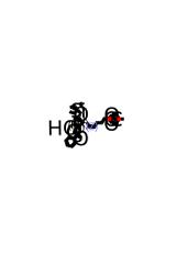 CC[Si](CC)(CC)O[C@H]1C[C@@H](O)[C@H](CS(=O)(=O)c2ccccc2)[C@H]1C/C=C\CCCC12OCC(C)(CO1)CO2